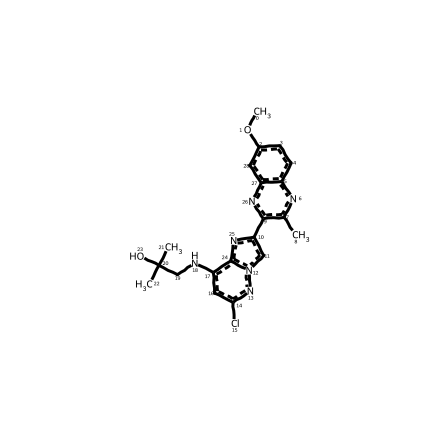 COc1ccc2nc(C)c(-c3cn4nc(Cl)cc(NCC(C)(C)O)c4n3)nc2c1